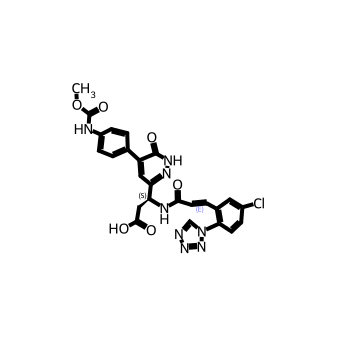 COC(=O)Nc1ccc(-c2cc([C@H](CC(=O)O)NC(=O)/C=C/c3cc(Cl)ccc3-n3cnnn3)n[nH]c2=O)cc1